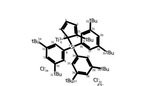 CC(C)(C)C1=CC=C[C]1([Ti+3])[Si](c1cc(C(C)(C)C)cc(C(C)(C)C)c1)(c1cc(C(C)(C)C)cc(C(C)(C)C)c1)c1cc(C(C)(C)C)cc(C(C)(C)C)c1.[Cl-].[Cl-].[Cl-]